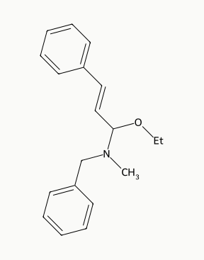 CCOC(C=Cc1ccccc1)N(C)Cc1ccccc1